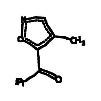 Cc1cnoc1C(=O)C(C)C